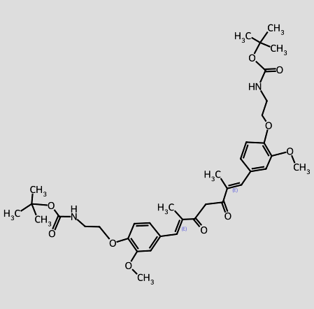 COc1cc(/C=C(\C)C(=O)CC(=O)/C(C)=C/c2ccc(OCCNC(=O)OC(C)(C)C)c(OC)c2)ccc1OCCNC(=O)OC(C)(C)C